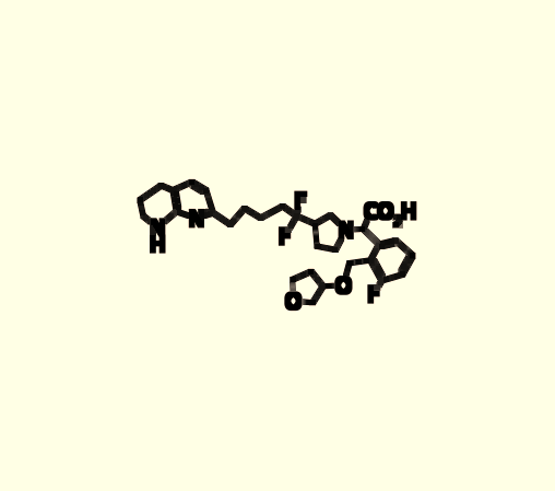 O=C(O)C(c1cccc(F)c1COC1CCOC1)N1CCC(C(F)(F)CCCCc2ccc3c(n2)NCCC3)C1